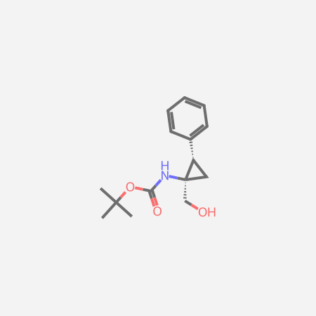 CC(C)(C)OC(=O)N[C@]1(CO)C[C@H]1c1ccccc1